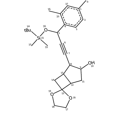 Cc1ccc(C(C#CC2C(O)CC3C2CC32OCCO2)O[Si](C)(C)C(C)(C)C)c(C)c1